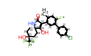 Cc1cc(F)c(-c2ccc(Cl)cc2)cc1C1=C(O)[C@]2(CC[C@@](O)(C(F)(F)F)CC2)NC1=O